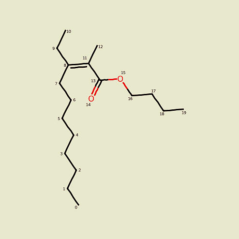 CCCCCCCCC(CC)=C(C)C(=O)OCCCC